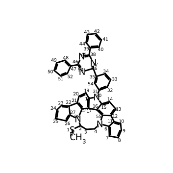 CSC1CCn2c3ccccc3c3ccc4c(c5c(ccc6c7ccccc7n1c65)n4-c1cccc(-c4nc(-c5ccccc5)nc(-c5ccccc5)n4)c1)c32